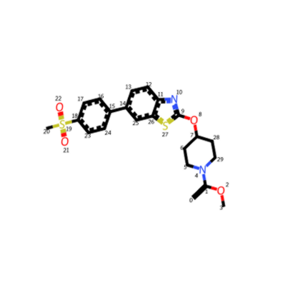 C=C(OC)N1CCC(Oc2nc3ccc(-c4ccc(S(C)(=O)=O)cc4)cc3s2)CC1